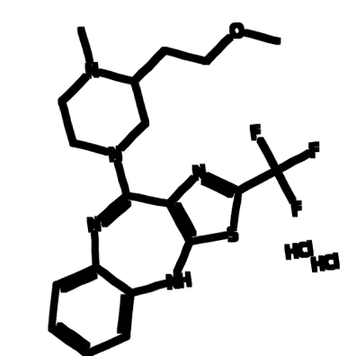 COCCC1CN(C2=Nc3ccccc3Nc3sc(C(F)(F)F)nc32)CCN1C.Cl.Cl